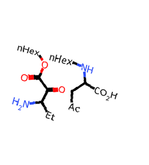 CCCCCCNC(CC(C)=O)C(=O)O.CCCCCCOC(=O)C(=O)C(N)CC